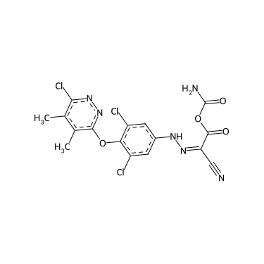 Cc1c(Cl)nnc(Oc2c(Cl)cc(NN=C(C#N)C(=O)OC(N)=O)cc2Cl)c1C